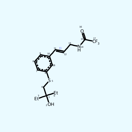 CCC(O)(CC)CSc1cccc(/C=C/CNC(=O)C(F)(F)F)c1